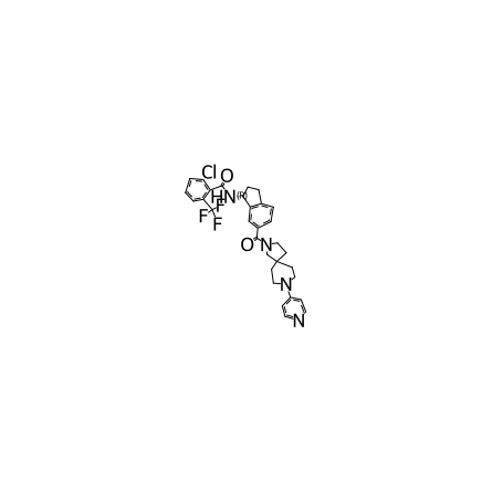 O=C(N[C@@H]1CCc2ccc(C(=O)N3CCC4(CCN(c5ccncc5)CC4)C3)cc21)c1c(Cl)cccc1C(F)(F)F